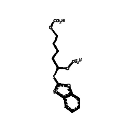 O=C(O)OCCCCC(OC(=O)O)Sc1nc2ccccc2o1